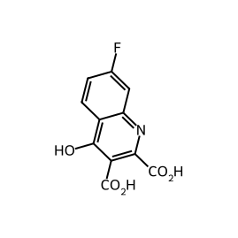 O=C(O)c1nc2cc(F)ccc2c(O)c1C(=O)O